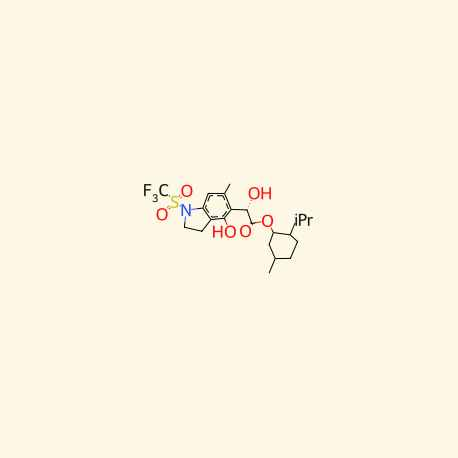 Cc1cc2c(c(O)c1[C@H](O)C(=O)OC1CC(C)CCC1C(C)C)CCN2S(=O)(=O)C(F)(F)F